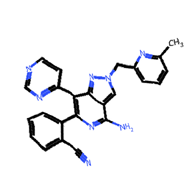 Cc1cccc(Cn2cc3c(N)nc(-c4ccccc4C#N)c(-c4ccncn4)c3n2)n1